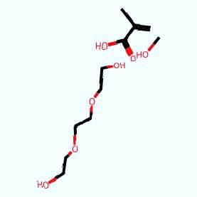 C=C(C)C(=O)O.CO.OCCOCCOCCO